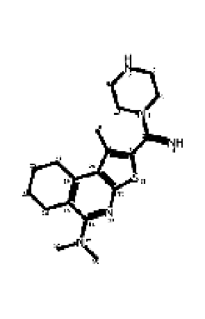 Cc1c(C(=N)N2CCNCC2)sc2nc(N(C)C)c3c(c12)CCCC3